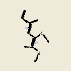 C=C/C(C)=C/C(OC)=C(\C)OC